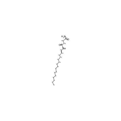 CCCCCCCCCCCCCCC=CNC(=O)CCC(N)=O